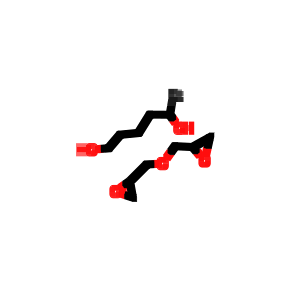 C(OCC1CO1)C1CO1.CCC(O)CCCCO